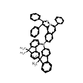 CC1(C)c2ccccc2-c2ccc(N(c3ccc4cc(-c5ccccc5)n5nc(-c6ccccc6)c(-c6ccccc6)c5c4c3)c3cccc4c3-c3ccccc3C4(C)C)cc21